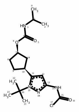 CC(C)NC(=O)O[C@@H]1CC[C@H](c2cc(NC(=O)Cl)nn2C(C)(C)C)C1